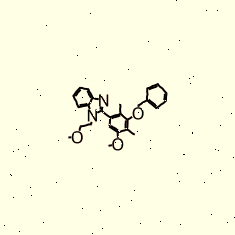 COCCn1c(-c2cc(OC)c(C)c(OCc3ccccc3)c2C)nc2ccccc21